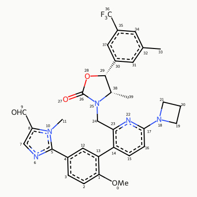 COc1ccc(-c2ncc(C=O)n2C)cc1-c1ccc(N2CCC2)nc1CN1C(=O)O[C@H](c2cc(C)cc(C(F)(F)F)c2)[C@@H]1C